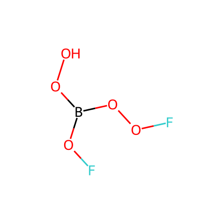 OOB(OF)OOF